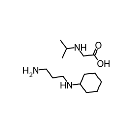 CC(C)NCC(=O)O.NCCCNC1CCCCC1